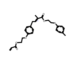 C=CC(=O)OCCOc1ccc(C/C=C(\C)C(=O)OCCSc2ccc(C)cc2)cc1